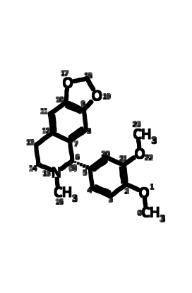 COc1ccc([C@H]2c3cc4c(cc3CCN2C)OCO4)cc1OC